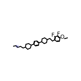 C/C=C/CCC1CCC(c2ccc(C3CCC(CCc4ccc(OCC)c(F)c4F)CC3)cc2)CC1